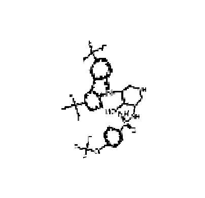 N=S(=O)(NC1CNCC(n2c3ccc(C(F)(F)F)cc3c3cc(C(F)(F)F)ccc32)C1O)c1ccc(OC(F)(F)F)cc1